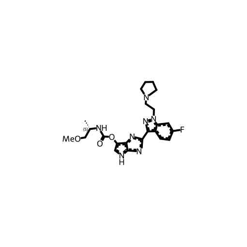 COC[C@H](C)NC(=O)Oc1c[nH]c2ncc(-c3nn(CCN4CCCC4)c4cc(F)ccc34)nc12